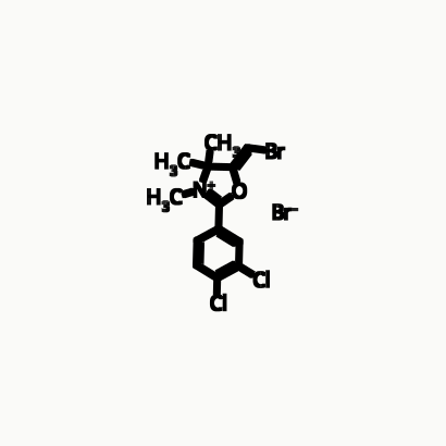 C[N+]1=C(c2ccc(Cl)c(Cl)c2)O/C(=C\Br)C1(C)C.[Br-]